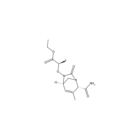 CCOC(=O)[C@@H](F)ON1C(=O)N2C[C@H]1C=C(C)[C@H]2C(N)=O